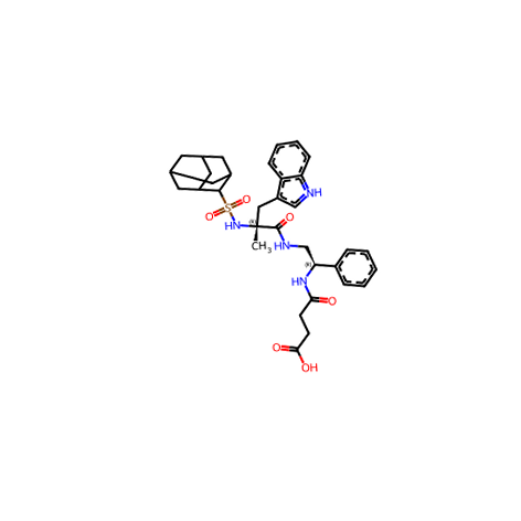 C[C@](Cc1c[nH]c2ccccc12)(NS(=O)(=O)C1C2CC3CC(C2)CC1C3)C(=O)NC[C@H](NC(=O)CCC(=O)O)c1ccccc1